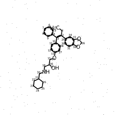 CCC(=C(c1ccccc1)c1ccc(OCC(O)CNCC2CCCCC2)cc1)c1ccc2c(c1)OCO2